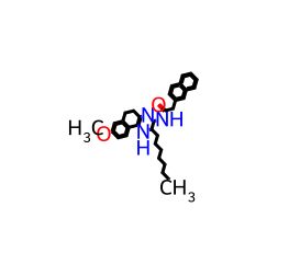 CCCCCCCCC1NC2=C(CCc3cc(OC)ccc32)N=C1NC(=O)Cc1ccc2ccccc2c1